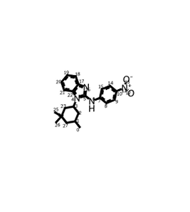 CC1CC(n2c(Nc3ccc([N+](=O)[O-])cc3)nc3ccccc32)CC(C)(C)C1